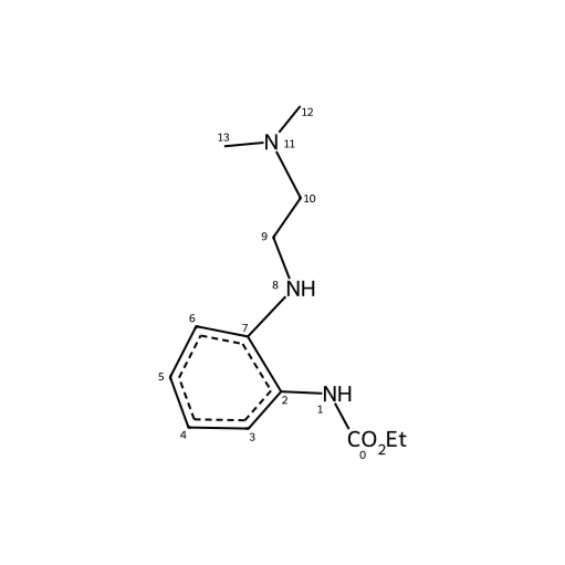 CCOC(=O)Nc1ccccc1NCCN(C)C